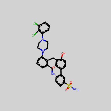 NC(=O)c1cccc(N2CCN(c3cccc(Cl)c3Cl)CC2)c1Cc1cc(-c2cccc(S(N)(=O)=O)c2)ccc1O